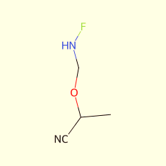 CC(C#N)OCNF